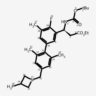 CCOC(=O)C[C@H](NC(=O)OC(C)(C)C)c1cc(-c2c(C)cc(CN3CC(P)C3)cc2C)cc(C)c1F